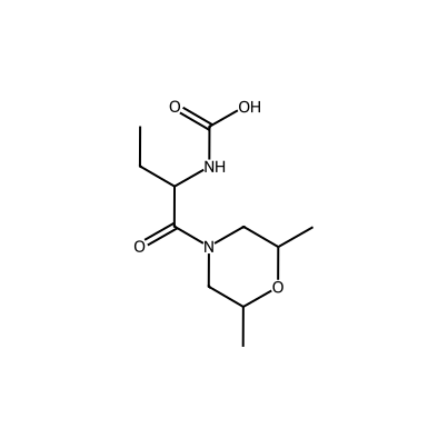 CCC(NC(=O)O)C(=O)N1CC(C)OC(C)C1